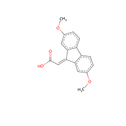 COc1ccc2c(c1)C(=CC(=O)O)c1cc(OC)ccc1-2